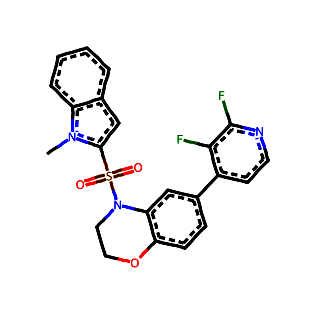 Cn1c(S(=O)(=O)N2CCOc3ccc(-c4ccnc(F)c4F)cc32)cc2ccccc21